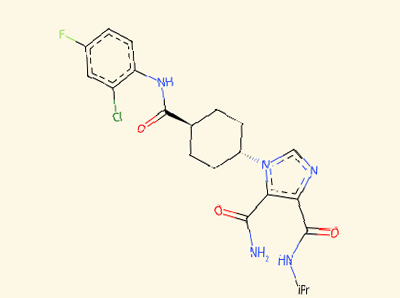 CC(C)NC(=O)c1ncn([C@H]2CC[C@H](C(=O)Nc3ccc(F)cc3Cl)CC2)c1C(N)=O